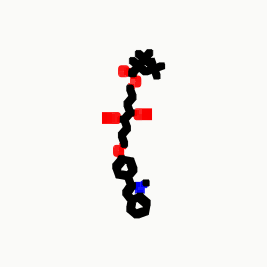 Cn1c(-c2ccc(OCCCC(O)C(O)CCCOC(=O)C(C)(CC(C)(C)C)C(C)(C)C)cc2)cc2ccccc21